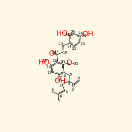 C=C(C)C(CC=C(C)C)Cc1c(O)cc(O)c(C(=O)C=Cc2ccc(O)cc2O)c1OC